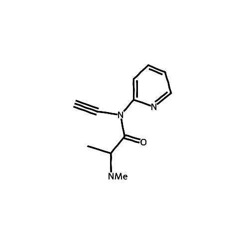 C#CN(C(=O)C(C)NC)c1ccccn1